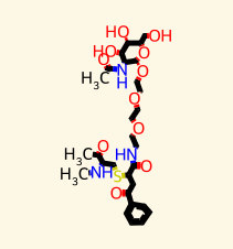 CNC(CSC(CC(=O)c1ccccc1)C(=O)NCCOCCOCCO[C@@H]1OC(CO)[C@H](O)C(O)C1NC(C)=O)C(C)=O